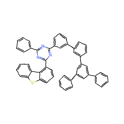 c1ccc(-c2cc(-c3ccccc3)cc(-c3cccc(-c4cccc(-c5nc(-c6ccccc6)nc(-c6cccc7sc8ccccc8c67)n5)c4)c3)c2)cc1